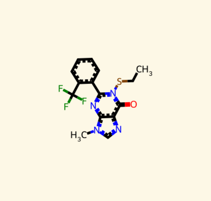 CCSn1c(-c2ccccc2C(F)(F)F)nc2c(ncn2C)c1=O